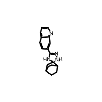 c1cnc2cc(C3=NN[C@]4(CC5CCC4CC5)N3)ccc2c1